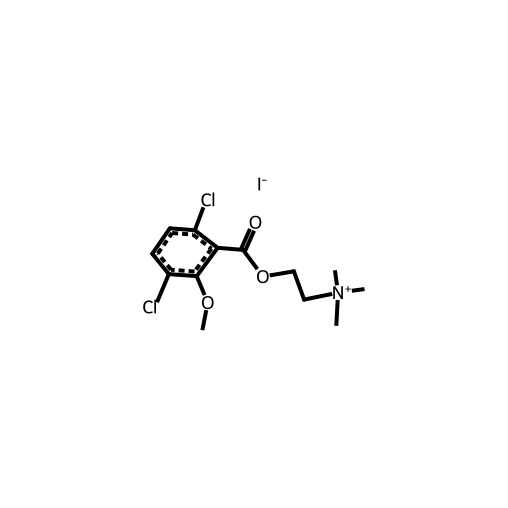 COc1c(Cl)ccc(Cl)c1C(=O)OCC[N+](C)(C)C.[I-]